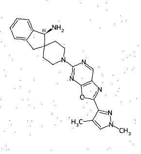 Cc1cn(C)nc1-c1nc2cnc(N3CCC4(CC3)Cc3ccccc3[C@H]4N)nc2o1